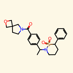 CC(c1ccc(C(=O)N2CCC3(COC3)C2)cc1)N1CCCC(c2ccccc2)S1(=O)=O